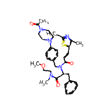 COCCN(C)C(=O)[C@H](Cc1ccccc1)N(Cc1ccc(N2CCN(C(C)=O)CC2)cc1)C(=O)C=Cc1sc(C)nc1C